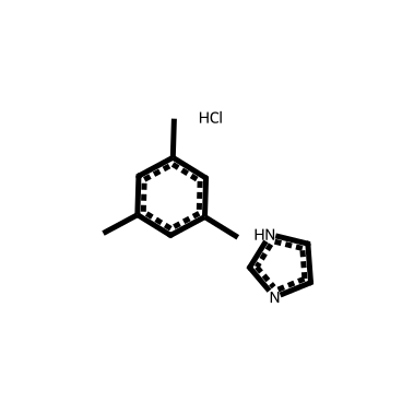 Cc1cc(C)cc(C)c1.Cl.c1c[nH]cn1